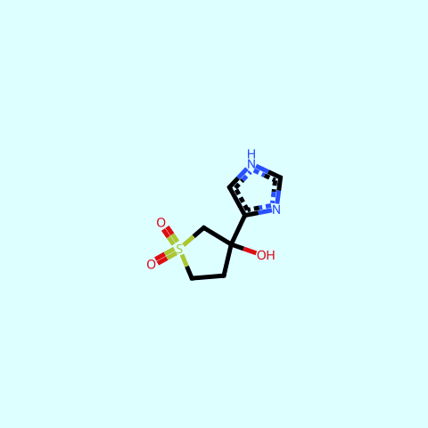 O=S1(=O)CCC(O)(c2c[nH]cn2)C1